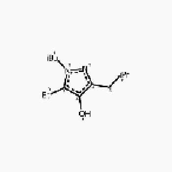 CCc1c(O)c(CC(C)C)nn1C(C)CC